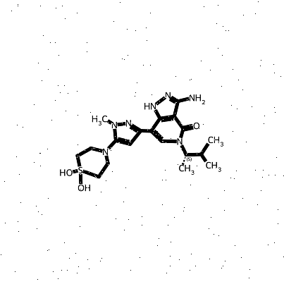 CC(C)[C@H](C)n1cc(-c2cc(N3CCS(O)(O)CC3)n(C)n2)c2[nH]nc(N)c2c1=O